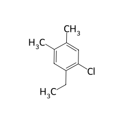 CCc1cc(C)c(C)cc1Cl